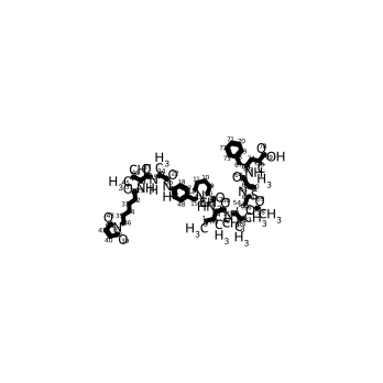 CC[C@H](C)[C@H](NC(=O)[C@H]1CCCC[N+]1(C)Cc1ccc(NC(=O)[C@H](C)NC(=O)[C@@H](NC(=O)CCCCCN2C(=O)C=CC2=O)C(C)C)cc1)C(=O)N(C)[C@H](C[C@@H](OC(C)=O)c1nc(C(=O)N[C@@H](Cc2ccccc2)C[C@H](C)C(=O)O)cs1)C(C)C